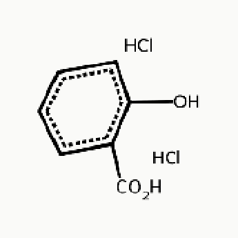 Cl.Cl.O=C(O)c1ccccc1O